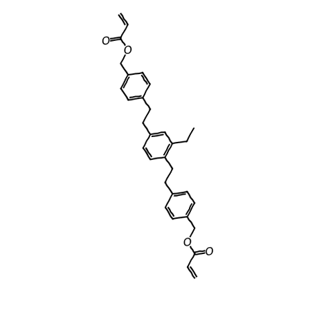 C=CC(=O)OCc1ccc(CCc2ccc(CCc3ccc(COC(=O)C=C)cc3)c(CC)c2)cc1